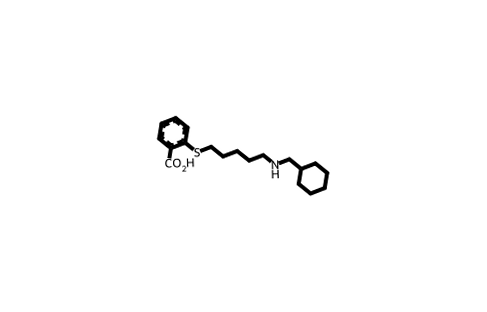 O=C(O)c1ccccc1SCCCCCNCC1CCCCC1